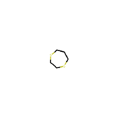 C1CSCCSC1